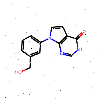 O=c1[nH]cnc2c1ccn2-c1cccc(CO)c1